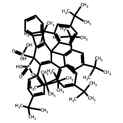 CC(C)(C)c1ccc(C2=C(c3ccc(C(C)(C)C)cc3C(C)(C)C)C(P(=O)(O)O)(P(=O)(O)O)C3=C(c4ccccc43)C2(c2ccc(C(C)(C)C)cc2C(C)(C)C)c2ccc(C(C)(C)C)cc2C(C)(C)C)c(C(C)(C)C)c1